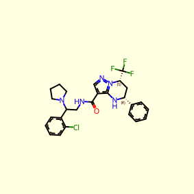 O=C(NCC(c1ccccc1Cl)N1CCCC1)c1cnn2c1N[C@@H](c1ccccc1)C[C@H]2C(F)(F)F